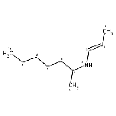 CC=CNC(C)CCCCC